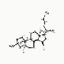 CC(=O)OC1CC[C@@]2(C)[C@@H](CCC3=C4C(=O)C[C@H]([C@H](C)CCCO)[C@@]4(C)CC[C@@H]32)C1